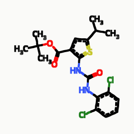 CC(C)c1cc(C(=O)OC(C)(C)C)c(NC(=O)Nc2c(Cl)cccc2Cl)s1